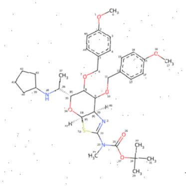 COc1ccc(COC2C(OCc3ccc(OC)cc3)[C@H]3N=C(N(C)C(=O)OC(C)(C)C)S[C@H]3O[C@@H]2C(C)NC2CCCC2)cc1